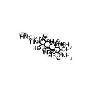 B=C1C(C(N)=O)=C(O)[C@@H](N(C)C)[C@@H]2C[C@@H]3Cc4c(Cl)nc(NCCCNC(C)C)c(O)c4C(=O)C3=C(O)[C@]12P